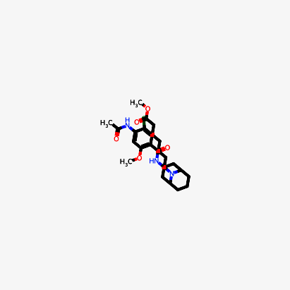 COC(=O)CCCCCCN1C2CCCC1CC(NC(=O)c1cc(Cl)c(NC(C)=O)cc1OC)C2